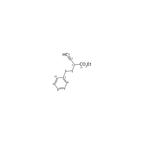 C#CC(CCc1ccccc1)C(=O)OCC